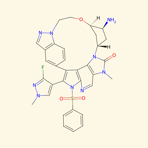 Cn1cc(-c2c3c4c(ncc5c4n(c(=O)n5C)[C@H]4C[C@H](N)[C@@H](C4)OCCn4ncc5cc-3ccc54)n2S(=O)(=O)c2ccccc2)c(F)n1